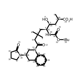 C[C@H](C[C@H](O)[C@H](CC(C)(C)CC(=O)N1C[C@H](N2CCCC2=O)Cc2ccccc21)NC(=O)OC(C)(C)C)C(=O)O